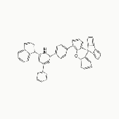 C1=C(c2cccc3ccccc23)NC(c2ccc(-c3cccc4c3Oc3ccccc3C43c4ccccc4-c4ccccc43)cc2)N=C1c1ccccc1